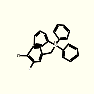 Fc1cc(C[PH](c2ccccc2)(c2ccccc2)c2ccccc2)ccc1Cl